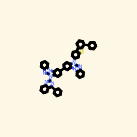 c1ccc(-c2nc(-n3c4ccc(-c5ccc6c(c5)n5c7ccccc7nc5n6-c5ccc6c(c5)sc5c(-c7ccccc7)cccc56)cc4n4c5ccccc5nc34)nc3ccccc23)cc1